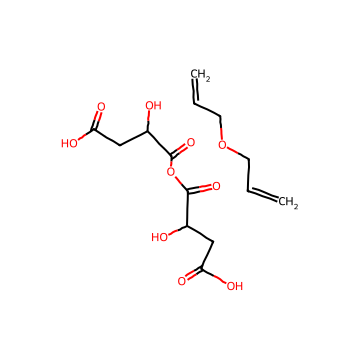 C=CCOCC=C.O=C(O)CC(O)C(=O)OC(=O)C(O)CC(=O)O